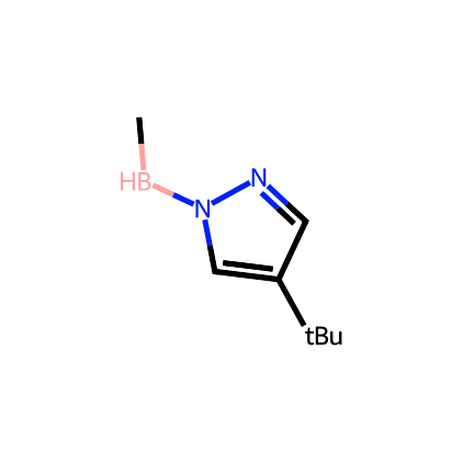 CBn1cc(C(C)(C)C)cn1